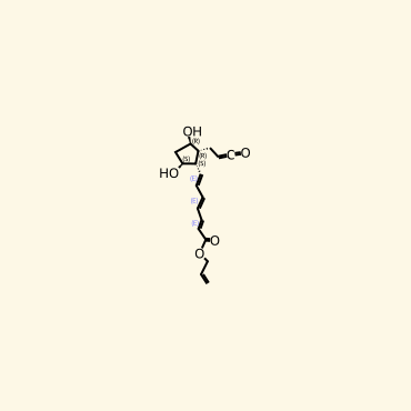 C=CCOC(=O)/C=C/C=C/C=C/[C@H]1[C@@H](CC=C=O)[C@H](O)C[C@@H]1O